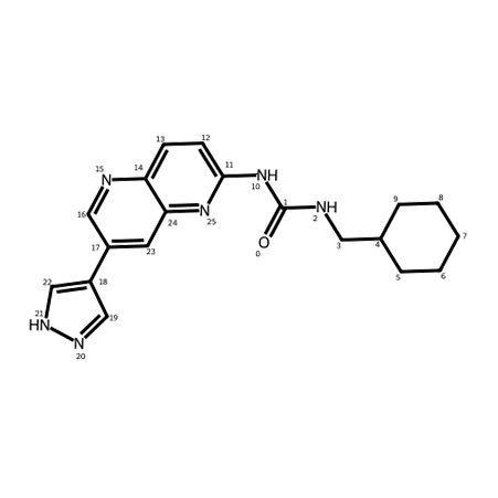 O=C(NCC1CCCCC1)Nc1ccc2ncc(-c3cn[nH]c3)cc2n1